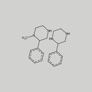 CN1CCNCC1c1ccccc1.c1ccc(C2CNCCN2)cc1